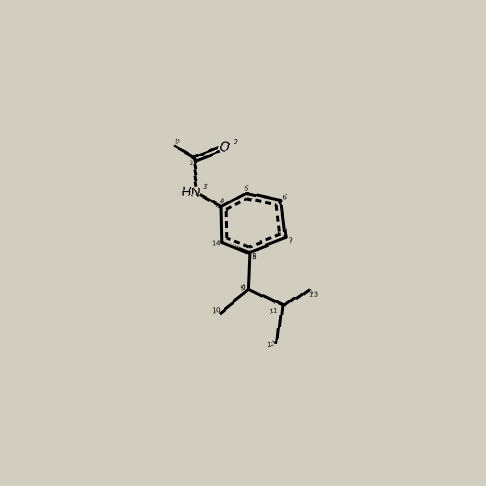 CC(=O)Nc1cccc(C(C)C(C)C)c1